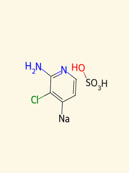 Nc1ncc[c]([Na])c1Cl.O=S(=O)(O)O